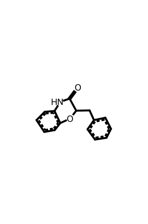 O=C1Nc2ccccc2OC1Cc1ccccc1